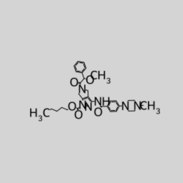 CCCCCOC(=O)n1nc(NC(=O)c2ccc(N3CCN(C)CC3)cc2)c2c1CN(C(=O)C(OC)c1ccccc1)C2